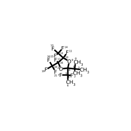 CC(C)(C)C1(C(C)(F)F)OC(F)(C(F)(F)F)C(F)(C(F)(F)F)O1